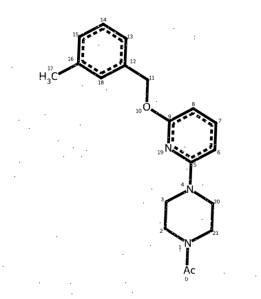 CC(=O)N1CCN(c2cccc(OCc3cccc(C)c3)n2)CC1